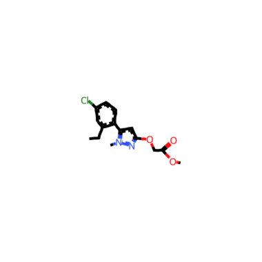 CCc1cc(Cl)ccc1-c1cc(OCC(=O)OC)nn1C